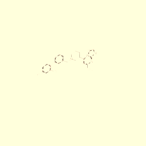 Cc1cc(C2CCCN(Cc3cccc(-c4ccc(F)cc4Cl)c3)C2)n2ncnc2n1